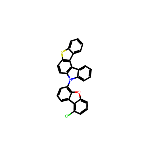 Clc1cccc2oc3c(-n4c5ccccc5c5c6c(ccc54)sc4ccccc46)cccc3c12